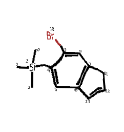 C[Si](C)(C)c1cc2c(cc1Br)CC=C2